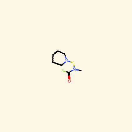 CN(SN1CCCCC1)C(=O)F